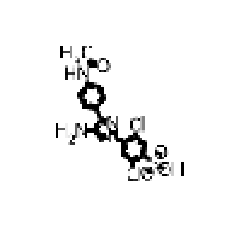 CC(=O)Nc1ccc(-c2nn(-c3cc(Cl)c(S(=O)(=O)O)cc3Cl)cc2N)cc1